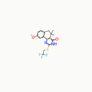 COc1ccc2c(c1)-c1nc(SCC(F)(F)F)[nH]c(=O)c1C(C)(C)C2